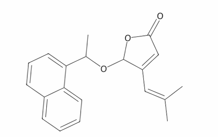 CC(C)=CC1=CC(=O)OC1OC(C)c1cccc2ccccc12